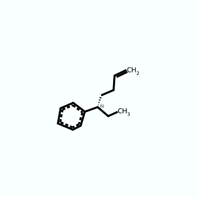 C=CCC[C@H](CC)c1ccccc1